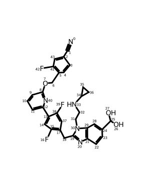 N#Cc1ccc(COc2cccc(-c3cc(F)c(Cc4nc5ccc(C(O)O)cc5n4CCNC4CC4)cc3F)n2)c(F)c1